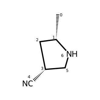 C[C@H]1C[C@@H](C#N)CN1